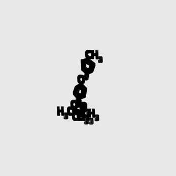 Cc1ccc(COc2ccc(B3OC(C)(C)C(C)(C)O3)cc2)cc1